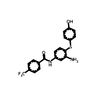 Nc1cc(NC(=O)c2ccc(C(F)(F)F)cc2)ccc1Sc1ccc(O)cc1